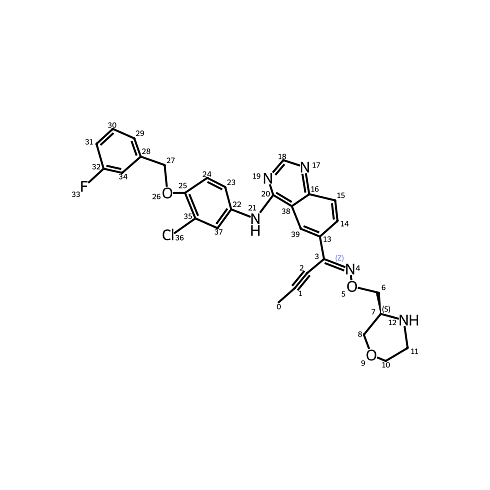 CC#C/C(=N\OC[C@@H]1COCCN1)c1ccc2ncnc(Nc3ccc(OCc4cccc(F)c4)c(Cl)c3)c2c1